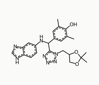 Cc1cc(C(Nc2ccc3[nH]cnc3c2)c2nnnn2CC2COC(C)(C)O2)cc(C)c1O